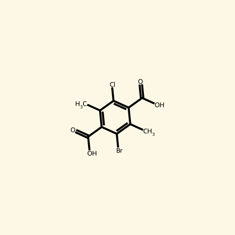 Cc1c(Br)c(C(=O)O)c(C)c(Cl)c1C(=O)O